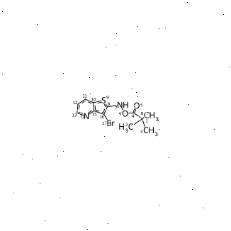 CC(C)(C)C(=O)ONc1sc2cccnc2c1Br